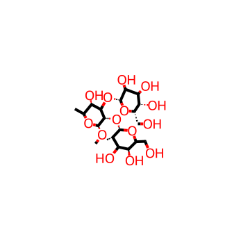 CO[C@@H]1OC(C)[C@H](O)C(O[C@H]2O[C@@H](CO)[C@@H](O)C(O)C2O)[C@@H]1O[C@@H]1OC(CO)[C@@H](O)C(O)[C@@H]1C